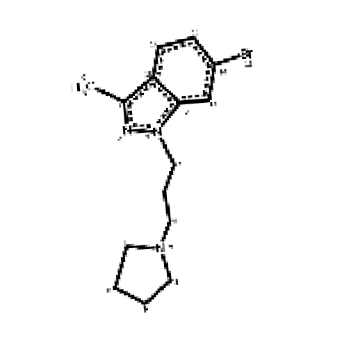 Cc1nn(CCCN2CCCC2)c2cc(Br)ccc12